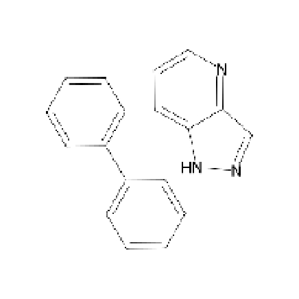 c1ccc(-c2ccccc2)cc1.c1cnc2cn[nH]c2c1